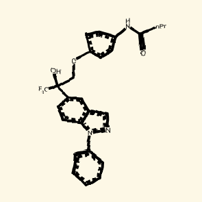 CCCC(=O)Nc1ccc(OCC(O)(c2ccc3c(cnn3-c3ccccc3)c2)C(F)(F)F)cc1